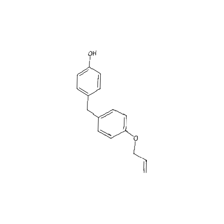 C=CCOc1ccc(Cc2ccc(O)cc2)cc1